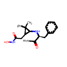 CNC(=O)[C@H](Cc1ccccc1)NC1C(CC(=O)NO)C1(C)C(C)C